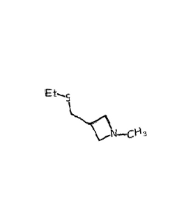 CCSCC1CN(C)C1